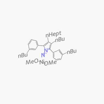 CCCCCCCC1=C(c2cccc(CCCC)c2)[N+](=[N-])C(c2cccc(CCCC)c2)=C1CCCC.C[O][Ni][O]C